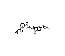 C=Nc1ccc2[nH]c(CNC(=O)N[C@@H]3CCCN(C(=O)CC4CC4)C3)cc2c1